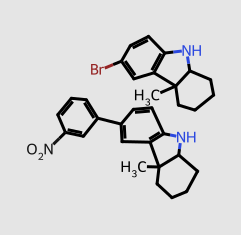 CC12CCCCC1Nc1ccc(-c3cccc([N+](=O)[O-])c3)cc12.CC12CCCCC1Nc1ccc(Br)cc12